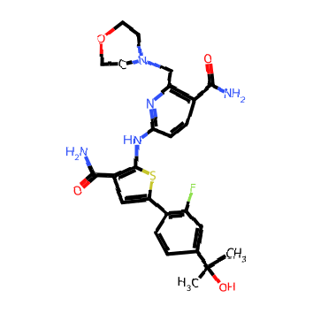 CC(C)(O)c1ccc(-c2cc(C(N)=O)c(Nc3ccc(C(N)=O)c(CN4CCOCC4)n3)s2)c(F)c1